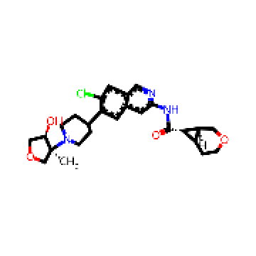 C[C@]1(N2CCC(c3cc4cc(NC(=O)[C@H]5[C@@H]6CCOC[C@@H]65)ncc4cc3Cl)CC2)COC[C@H]1O